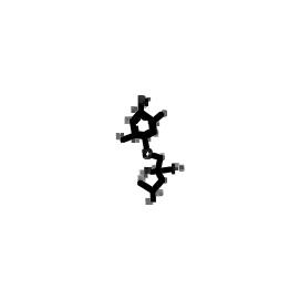 Cc1cc(OCC(F)(F)CC(C)C)c(C)cc1Br